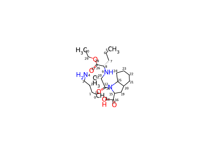 CCCCN.CCC[C@H](N[C@@H](C)C(=O)N1C(C(=O)O)CC2CCCCC21)C(=O)OCC